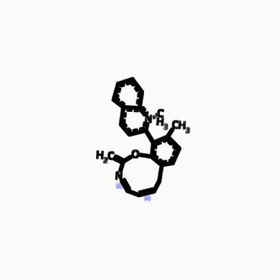 C=C1/N=C\C=C/Cc2ccc(C)c(-c3ccc4ccccc4[n+]3C)c2O1